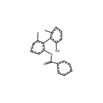 Cc1cccc(O)c1-c1c(C)cccc1OC(=O)c1ccccc1